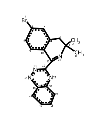 CC1(C)Cc2cc(Br)ccc2C(c2nnc3ccccc3n2)=N1